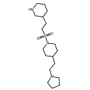 O=S(=O)(CCC1CCCNC1)N1CCC(CCN2CCCC2)CC1